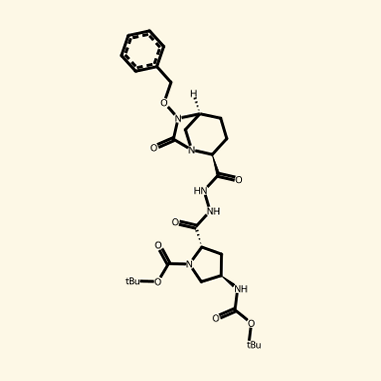 CC(C)(C)OC(=O)N[C@@H]1C[C@@H](C(=O)NNC(=O)[C@@H]2CC[C@H]3CN2C(=O)N3OCc2ccccc2)N(C(=O)OC(C)(C)C)C1